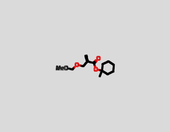 C=C(COCOC)C(=O)OC1(C)CCCCC1